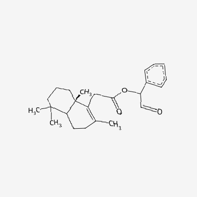 CC1=C(CC(=O)OC(C=O)c2ccccc2)[C@@]2(C)CCCC(C)(C)C2CC1